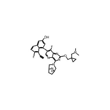 C#Cc1c(F)ccc2cc(O)cc(-c3cnc4c(N5CC6CCC(C5)N6)nc(OCC5(CN(C)C)CC5)nc4c3F)c12